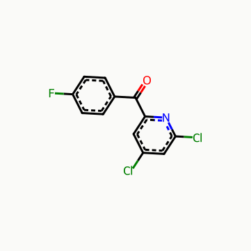 O=C(c1ccc(F)cc1)c1cc(Cl)cc(Cl)n1